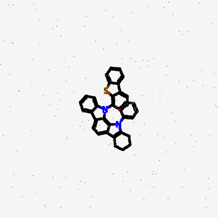 c1ccc(-n2c3c(c4ccc5c6ccccc6n(-c6cccc7c6sc6ccccc67)c5c42)CCCC3)cc1